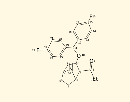 CCC(=O)C1C2CCC(CC1OC(c1ccc(F)cc1)c1ccc(F)cc1)N2